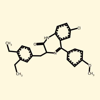 CCc1ccc(CC2N=C(c3ccc(OC)cc3)c3cc(Cl)ccc3NC2=O)cc1CC